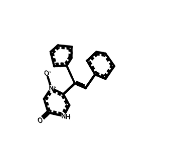 O=c1c[n+]([O-])c(C(=Cc2ccccc2)c2ccccc2)c[nH]1